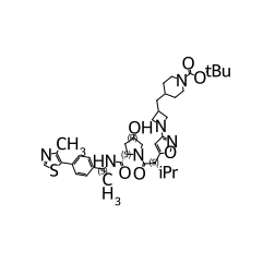 Cc1ncsc1-c1ccc([C@H](C)NC(=O)[C@@H]2C[C@@H](O)CN2C(=O)[C@H](c2cc(N3CC(CC4CCN(C(=O)OC(C)(C)C)CC4)C3)no2)C(C)C)cc1